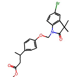 COC(=O)CC(C)c1ccc(OCN2C(=O)C(C)(C)c3cc(Br)ccc32)cc1